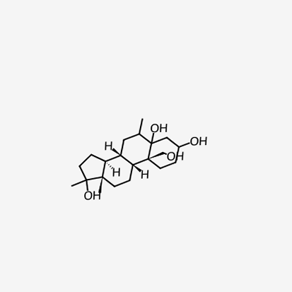 CC1C[C@@H]2[C@@H](CC[C@@]3(C)[C@H]2CCC3(C)O)[C@@]2(CO)CCC(O)CC12O